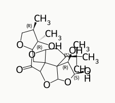 C[C@@H]1COC(CC23C4C[C@@H](C(C)(C)C)C25C(OC3C(=O)O4)O[C@H](O)[C@@H]5O)[C@]1(C)O